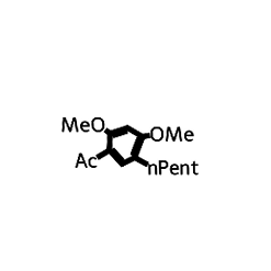 CCCCCc1cc(C(C)=O)c(OC)cc1OC